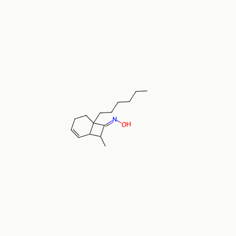 CCCCCCC12CCC=CC1C(C)C2=NO